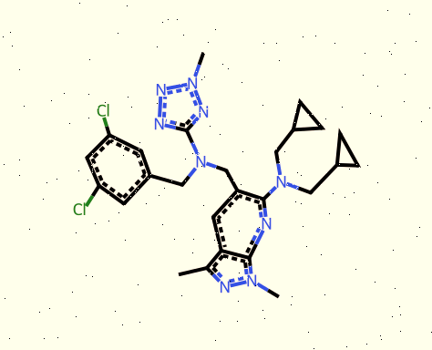 Cc1nn(C)c2nc(N(CC3CC3)CC3CC3)c(CN(Cc3cc(Cl)cc(Cl)c3)c3nnn(C)n3)cc12